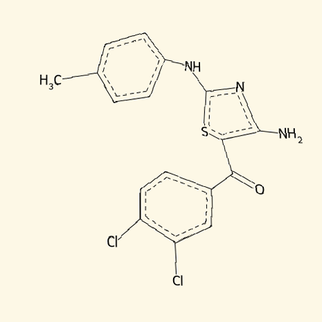 Cc1ccc(Nc2nc(N)c(C(=O)c3ccc(Cl)c(Cl)c3)s2)cc1